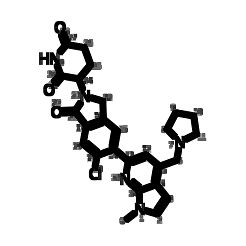 Cn1ccc2c(CN3CCCC3)cc(-c3cc4c(cc3Cl)C(=O)N(C3CCC(=O)NC3=O)C4)nc21